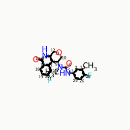 Cc1cc(NC(=O)N(C)[C@H]2COCc3[nH]c(=O)c4ccc(F)cc4c32)ccc1F